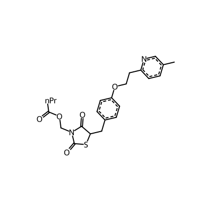 CCCC(=O)OCN1C(=O)SC(Cc2ccc(OCCc3ccc(C)cn3)cc2)C1=O